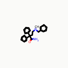 CN(CCC(C(N)=O)(c1ccccc1)c1ccccc1)Cc1ccccc1